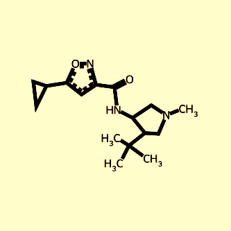 CN1CC(NC(=O)c2cc(C3CC3)on2)C(C(C)(C)C)C1